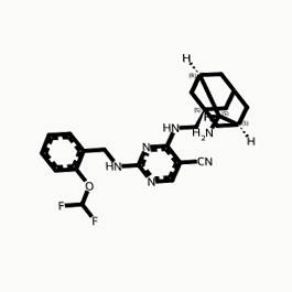 N#Cc1cnc(NCc2ccccc2OC(F)F)nc1NC[C@]12CC3C[C@H](C1)[C@@H](N)[C@@H](C3)C2